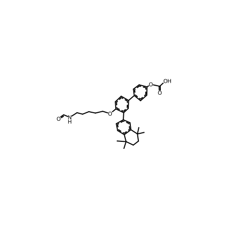 CC1(C)CCC(C)(C)c2cc(-c3cc(-c4ccc(OC(=O)O)cc4)ccc3OCCCCCNC=O)ccc21